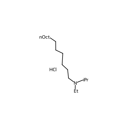 CCCCCCCCCCCCCCN(CC)C(C)C.Cl